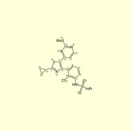 CCCS(=O)(=O)Nc1cccc(-c2nc(C3CC3)sc2-c2ccnc(SC)n2)c1Cl